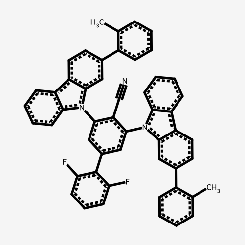 Cc1ccccc1-c1ccc2c3ccccc3n(-c3cc(-c4c(F)cccc4F)cc(-n4c5ccccc5c5ccc(-c6ccccc6C)cc54)c3C#N)c2c1